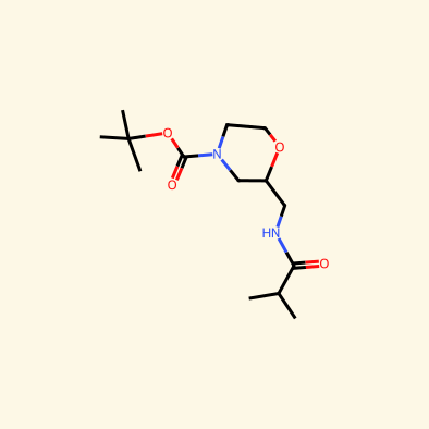 CC(C)C(=O)NCC1CN(C(=O)OC(C)(C)C)CCO1